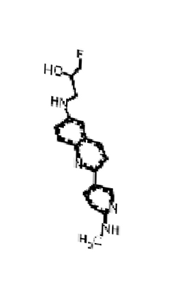 CNc1ccc(-c2ccc3cc(NCC(O)CF)ccc3n2)cn1